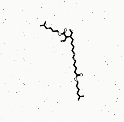 CCC(CCCCCCCCCCC(=O)OCCCCC(C)C)C(CC)C(=O)OCCCCC(C)C